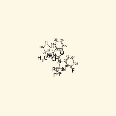 CN(C)C1(C(NC(=O)c2cc(C(F)(F)F)nc3c(F)cccc23)c2ccccc2)CCCC1